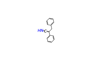 N=C=C(Cc1ccccc1)c1ccccc1